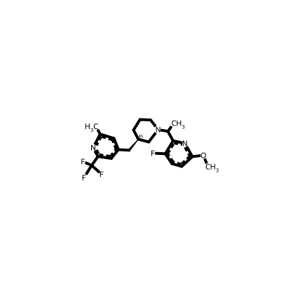 COc1ccc(F)c(C(C)N2CCC[C@H](Cc3cc(C)nc(C(F)(F)F)c3)C2)n1